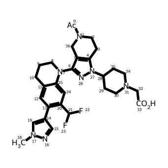 CC(=O)N1CCc2c(c(N3CCCc4cc(-c5cnn(C)c5)c(C(F)F)cc43)nn2C2CCN(CC(=O)O)CC2)C1